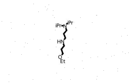 CCOCCCNCCCN(C(C)C)C(C)C